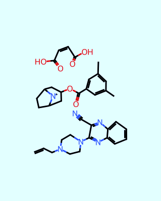 C=CCN1CCN(c2nc3ccccc3nc2C#N)CC1.Cc1cc(C)cc(C(=O)OC2CC3CCC(C2)N3C)c1.O=C(O)/C=C\C(=O)O